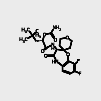 CC(C)(C)C[C@H](OC(N)=O)C(=O)NC1C(=O)Nc2ccc(F)c(F)c2OC12CCOCC2